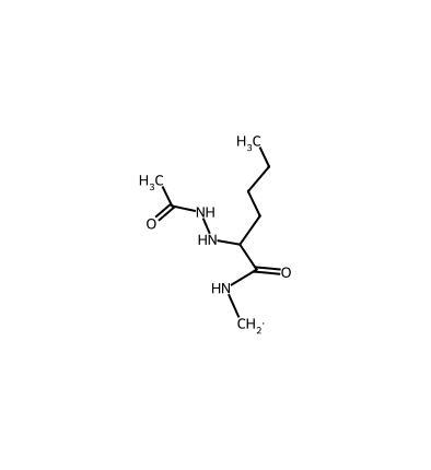 [CH2]NC(=O)C(CCCC)NNC(C)=O